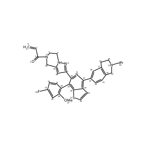 C=CC(=O)N1CCn2nc(-c3nc(-c4ccc5c(c4)CCN(C(C)C)C5)c4ccsc4c3-c3ccc(F)cc3OC)cc2C1